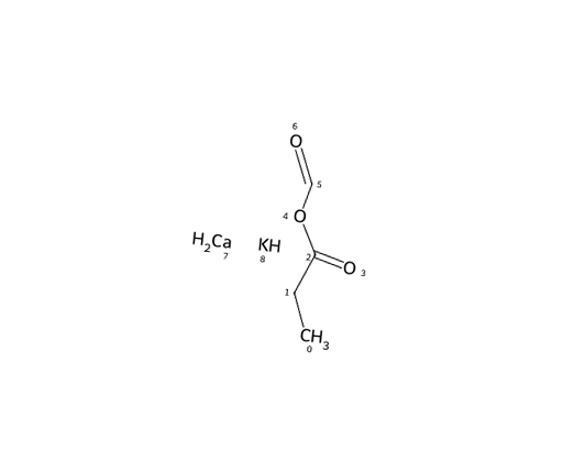 CCC(=O)OC=O.[CaH2].[KH]